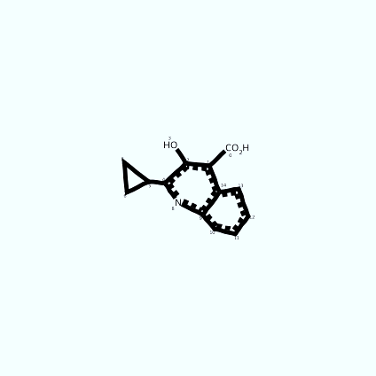 O=C(O)c1c(O)c(C2CC2)nc2ccccc12